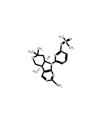 CC1(C)C[C@H]2N(c3cccc(N=S(C)(C)=O)n3)c3nc(N)ncc3[C@@]2(C)CO1